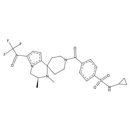 C[C@H]1Cn2c(C(=O)C(F)(F)F)ccc2C2(CCN(C(=O)c3ccc(S(=O)(=O)NC4CC4)cc3)CC2)N1C